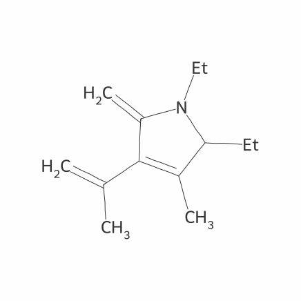 C=C(C)C1=C(C)C(CC)N(CC)C1=C